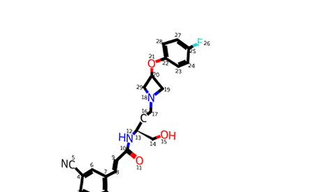 COc1ccc(C#N)cc1/C=C/C(=O)N[C@H](CO)CCN1CC(Oc2ccc(F)cc2)C1